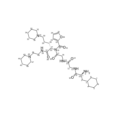 N[C@@H](CC1CCCCC1)C(=O)NCC(=O)NCC(=O)N(C(=O)c1ccco1)[C@@H](CCCN1CCCCC1)C(=O)NCCN1CCCCC1